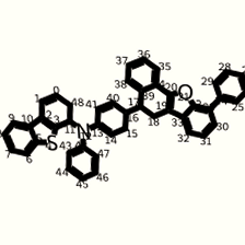 C1=Cc2c(sc3ccccc23)C(N(C2=CCC(C3Cc4c(oc5c(-c6ccccc6)cccc45)-c4ccccc43)C=C2)c2ccccc2)C1